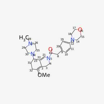 COC1=C2CCN(C(=O)Cc3ccc(N4CCOCC4)cc3)C=C2C(N2CCN(C)CC2)CC1